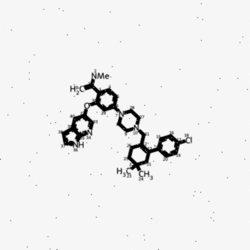 C=C(NC)c1ccc(N2CCN(CC3=C(c4ccc(Cl)cc4)CC(C)(C)CC3)CC2)cc1Oc1cnc2[nH]ccc2c1